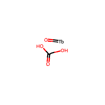 O=C(O)O.[O]=[Tb]